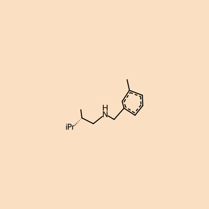 Cc1cccc(CNC[C@@H](C)C(C)C)c1